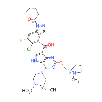 CN1CCC[C@H]1COc1nc(N2CCN(C(=O)O)[C@@H](CC#N)C2)c2[nH]cc([C@H](O)c3c(Cl)c(F)cc4c3cnn4[C@@H]3CCCCO3)c2n1